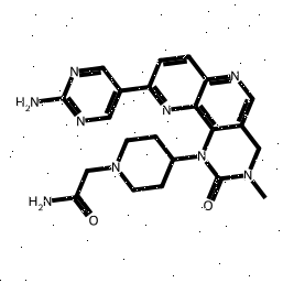 CN1Cc2cnc3ccc(-c4cnc(N)nc4)nc3c2N(C2CCN(CC(N)=O)CC2)C1=O